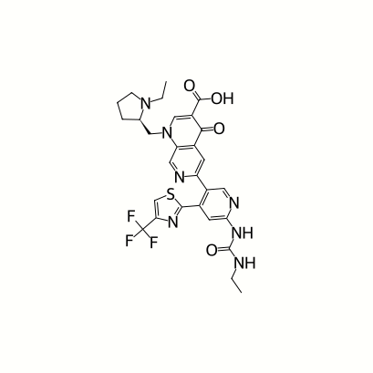 CCNC(=O)Nc1cc(-c2nc(C(F)(F)F)cs2)c(-c2cc3c(=O)c(C(=O)O)cn(C[C@H]4CCCN4CC)c3cn2)cn1